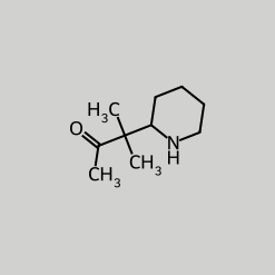 CC(=O)C(C)(C)C1CCCCN1